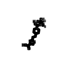 CC(C)(C)OC(=O)N1CCC(CCc2ncc(C(=O)O)s2)CC1